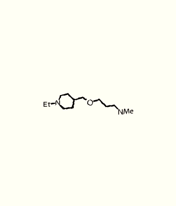 CCN1CCC(COCCCNC)CC1